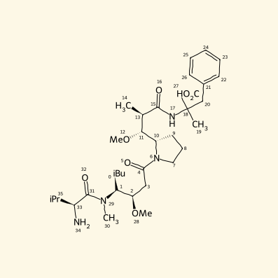 CC[C@H](C)[C@@H]([C@@H](CC(=O)N1CCC[C@H]1[C@H](OC)[C@@H](C)C(=O)NC(C)(Cc1ccccc1)C(=O)O)OC)N(C)C(=O)[C@@H](N)C(C)C